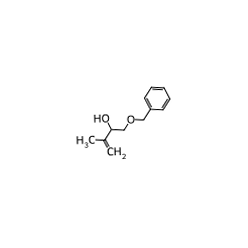 C=C(C)C(O)COCc1ccccc1